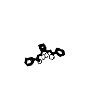 O=C(CC(=O)C1C2C=CC(C2)C1C(=O)CC(=O)c1ccccc1)c1ccccc1